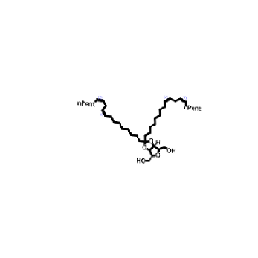 CCCCC/C=C\C/C=C\CCCCCCCCC1(CCCCCCCC/C=C\C/C=C\CCCCC)OC2[C@H](O1)C(CO)O[C@H]2CO